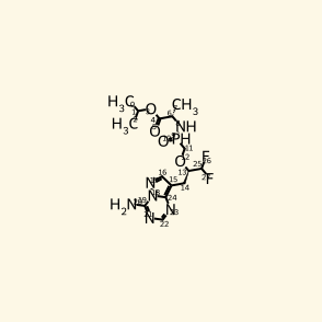 CC(C)OC(=O)[C@H](C)N[PH](=O)CO[C@H](Cc1cnn2c(N)ncnc12)C(F)F